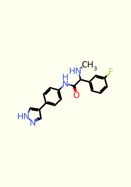 CNC(C(=O)Nc1ccc(-c2cn[nH]c2)cc1)c1cccc(F)c1